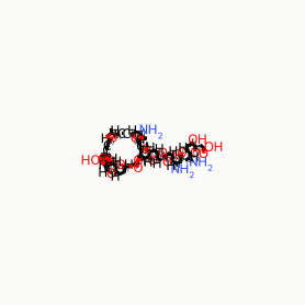 C=C1[C@H](N)C[C@@H]2CC[C@@H]3O[C@@H](CC[C@]45C[C@@H](O)C(O4)[C@@H]4O[C@H]6CC[C@H](CC(=O)O[C@@H]7C[C@@H]8O[C@@H]9C[C@@]%10(C[C@@H]%11O[C@]%12(C[C@H](N)[C@@H]%13O[C@H](CC(=O)O)[C@H](O)C[C@@H]%13O%12)C[C@H](N)[C@@H]%11O%10)O[C@@H]9C[C@@H]8O[C@H]7C[C@H]1O2)O[C@@H]6[C@H](O5)[C@@H]4C)CC3C